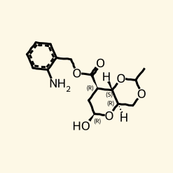 CC1OC[C@H]2O[C@@H](O)C[C@@H](C(=O)OCc3ccccc3N)[C@@H]2O1